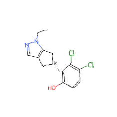 CCn1ncc2c1C[C@H](c1c(O)ccc(Cl)c1Cl)C2